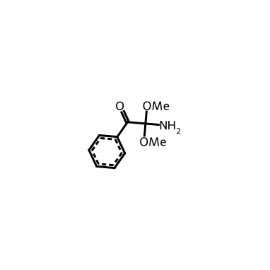 COC(N)(OC)C(=O)c1ccccc1